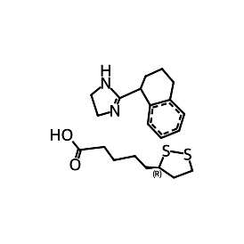 O=C(O)CCCC[C@@H]1CCSS1.c1ccc2c(c1)CCCC2C1=NCCN1